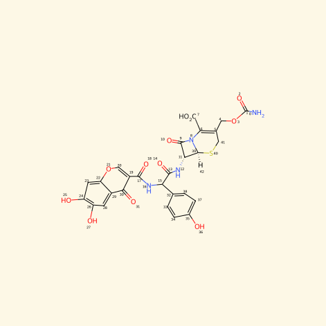 NC(=O)OCC1=C(C(=O)O)N2C(=O)[C@@H](NC(=O)C(NC(=O)c3coc4cc(O)c(O)cc4c3=O)c3ccc(O)cc3)[C@@H]2SC1